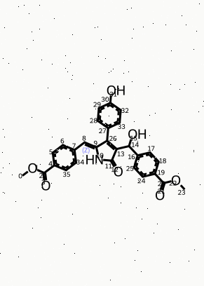 COC(=O)c1ccc(/C=C2\NC(=O)C(C(O)c3ccc(C(=O)OC)cc3)=C2c2ccc(O)cc2)cc1